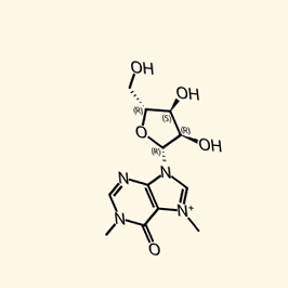 Cn1cnc2c(c1=O)[n+](C)cn2[C@@H]1O[C@H](CO)[C@@H](O)[C@H]1O